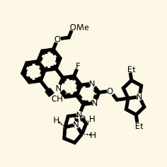 C#Cc1cccc2cc(OCOC)cc(-c3ncc4c(N5C[C@H]6CC[C@@H](C5)N6C(=O)O)nc(OCC56CC(CC)CN5CC(CC)C6)nc4c3F)c12